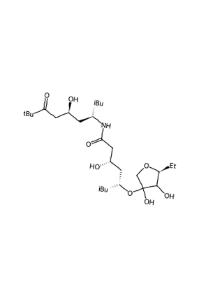 CC[C@@H]1OCC(O)(O[C@@H](C[C@H](O)CC(=O)N[C@@H](C[C@H](O)CC(=O)C(C)(C)C)[C@@H](C)CC)[C@@H](C)CC)C1O